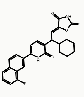 O=C1NC(=O)C(=CC(c2ccc(-c3ccc4cccc(F)c4c3)[nH]c2=O)C2CCCCC2)O1